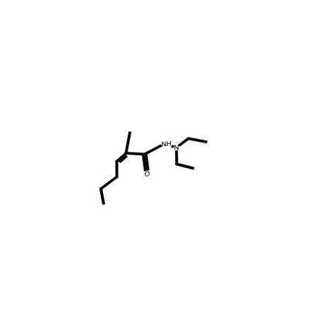 CCCC=C(C)C(=O)NN(CC)CC